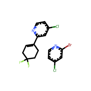 Clc1ccnc(Br)c1.FC1(F)CC=C(c2cc(Cl)ccn2)CC1